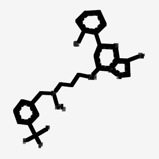 NN(CCCNc1cc(-c2ccccc2Cl)nc2c(Br)cnn12)Cc1cccc(C(F)(F)F)c1